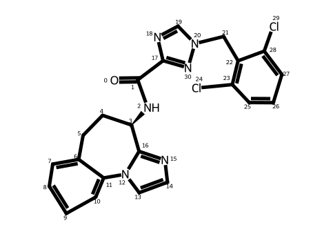 O=C(N[C@@H]1CCc2ccccc2-n2ccnc21)c1ncn(Cc2c(Cl)cccc2Cl)n1